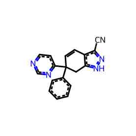 N#Cc1n[nH]c2c1C=CC(c1ccccc1)(c1ccncn1)C2